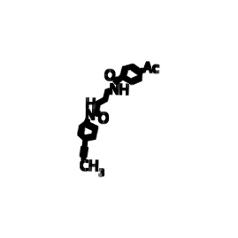 CC#Cc1ccc(NC(=O)CCCNC(=O)c2ccc(C(C)=O)cc2)cc1